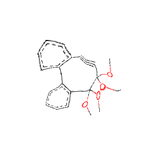 COC1(OC)C#Cc2ccccc2-c2ccccc2C1(OC)OC